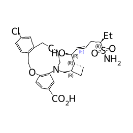 CC[C@H](C/C=C/[C@H](O)[C@@H]1CC[C@H]1CN1CCCCc2cc(Cl)ccc2COc2ccc(C(=O)O)cc21)S(N)(=O)=O